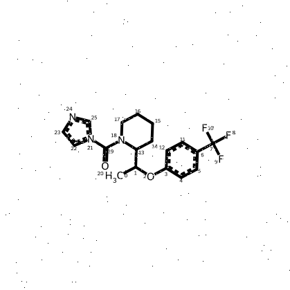 CC(Oc1ccc(C(F)(F)F)cc1)C1CCCCN1C(=O)n1ccnc1